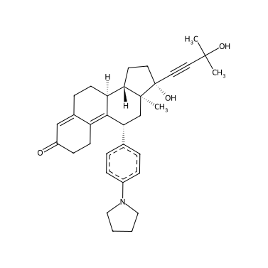 CC(C)(O)C#C[C@]1(O)CC[C@H]2[C@@H]3CCC4=CC(=O)CCC4=C3[C@@H](c3ccc(N4CCCC4)cc3)C[C@@]21C